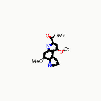 CCOc1cc(C(=O)OC)nc2cc(OC)c3ncccc3c12